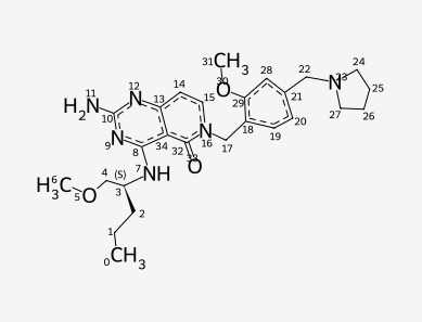 CCC[C@@H](COC)Nc1nc(N)nc2ccn(Cc3ccc(CN4CCCC4)cc3OC)c(=O)c12